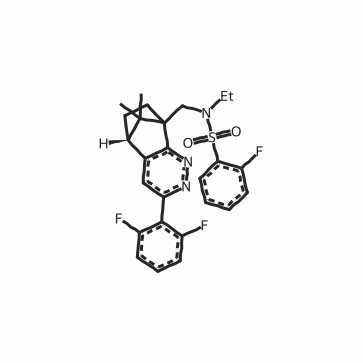 CCN(CC12CC[C@@H](c3cc(-c4c(F)cccc4F)nnc31)C2(C)C)S(=O)(=O)c1ccccc1F